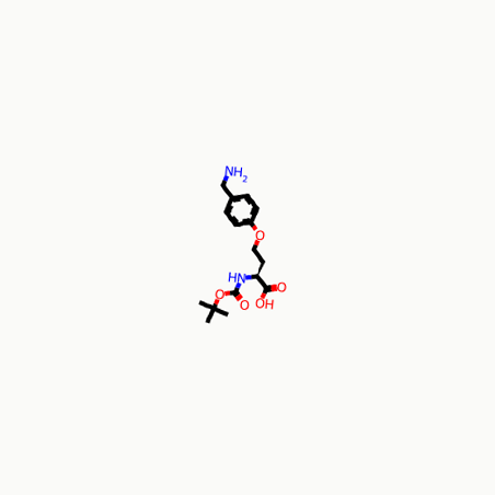 CC(C)(C)OC(=O)N[C@@H](CCOc1ccc(CN)cc1)C(=O)O